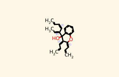 C=C/C=C\C(=C/C)C1(O)C(=C/C=C)/C(=C\C=C)Oc2ccccc21